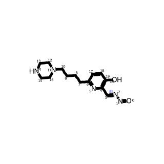 O=N/N=C/c1nc(CCCCN2CCNCC2)ccc1O